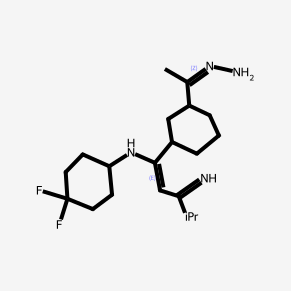 C/C(=N/N)C1CCCC(/C(=C\C(=N)C(C)C)NC2CCC(F)(F)CC2)C1